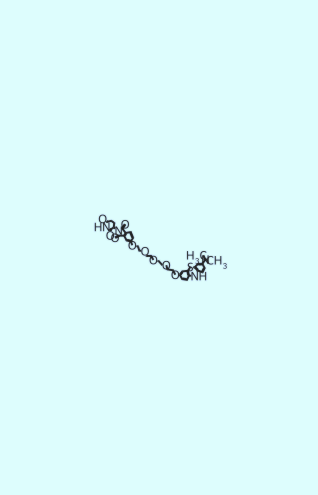 CN(C)c1ccc2c(c1)Sc1cc(OCCOCCOCCOCCOc3ccc4c(c3)C(=O)N(C3CCC(=O)NC3=O)C4=O)ccc1N2